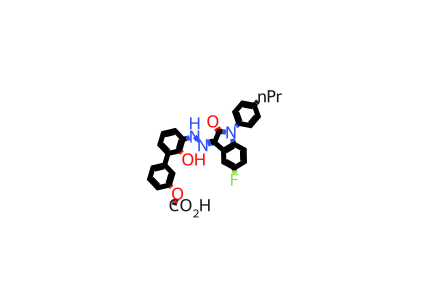 CCCc1ccc(N2C(=O)C(=NNc3cccc(-c4cccc(OC(=O)O)c4)c3O)c3cc(F)ccc32)cc1